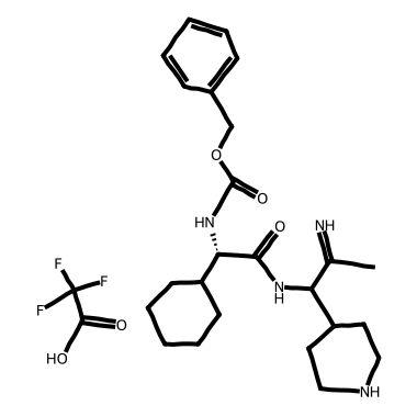 CC(=N)C(NC(=O)[C@@H](NC(=O)OCc1ccccc1)C1CCCCC1)C1CCNCC1.O=C(O)C(F)(F)F